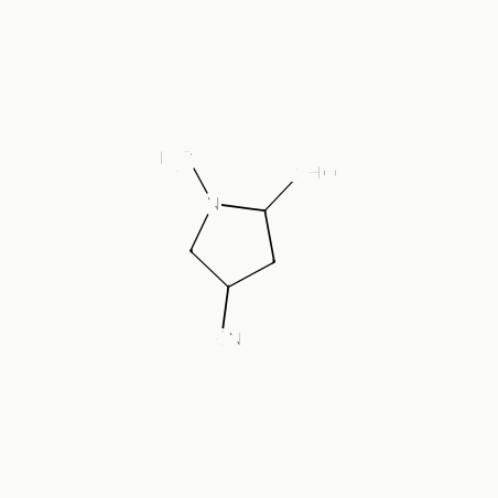 BN1CC(C#N)CC1C=O